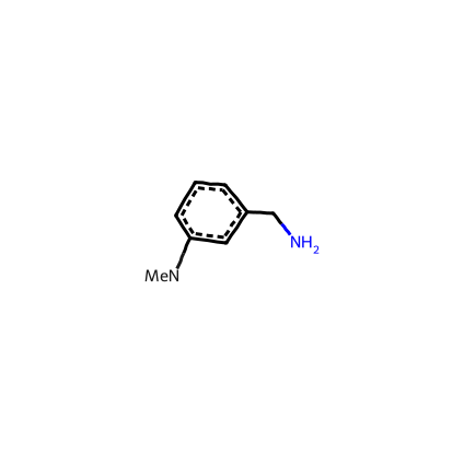 CNc1cccc(CN)c1